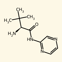 CC(C)(C)[C@H](N)C(=O)Nc1cnccn1